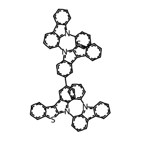 c1ccc(-n2c3ccccc3c3cccc(-n4c5ccc(-c6ccc7c(c6)c6c8ccccc8sc6n7-c6cccc7c8ccccc8n(-c8ccccc8)c67)cc5c5c6ccccc6sc54)c32)cc1